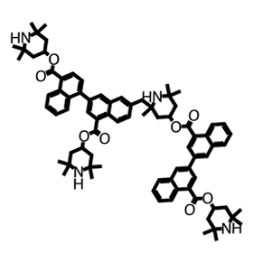 CC1(C)CC(OC(=O)c2cc(-c3cc(C(=O)OC4CC(C)(C)NC(C)(Cc5ccc6c(C(=O)OC7CC(C)(C)NC(C)(C)C7)cc(-c7ccc(C(=O)OC8CC(C)(C)NC(C)(C)C8)c8ccccc78)cc6c5)C4)c4ccccc4c3)cc3ccccc23)CC(C)(C)N1